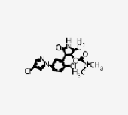 CC1NC(=O)C(c2cc(-n3cc(Cl)cn3)ccc2Cl)C1OC(=O)N(C)C